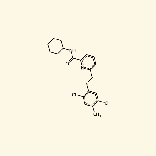 Cc1cc(Cl)c(SCc2cccc(C(=O)NC3CCCCC3)n2)cc1Cl